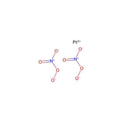 O=[N+]([O-])O[O-].O=[N+]([O-])O[O-].[Pt+2]